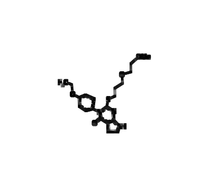 COCCOCCCSc1nc2[nH]ccc2c(=O)n1-c1ccc(OCC(F)(F)F)cc1